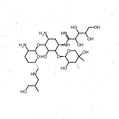 CC(CO)CNC[C@@H]1CCC(N)[C@@H](OC2C(O)C(O[C@H]3OCC(C)(O)[C@H](C)C3O)[C@H](NC(=N)C(O)C(O)C(O)CO)C[C@@H]2N)O1